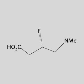 CNC[C@@H](F)CC(=O)O